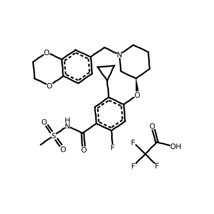 CS(=O)(=O)NC(=O)c1cc(C2CC2)c(O[C@@H]2CCCN(Cc3ccc4c(c3)OCCO4)C2)cc1F.O=C(O)C(F)(F)F